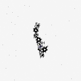 Cc1ccc(OCC(F)(F)F)c(N2C(=O)CS/C2=N\C(=O)Nc2ccc(-c3ncn(-c4ccc(OC(F)(F)F)cc4)n3)cc2C)c1